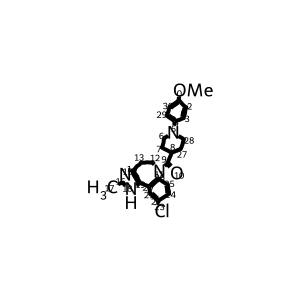 COc1ccc(N2CCC(C(=O)N3CCc4nc(C)[nH]c4-c4cc(Cl)ccc43)CC2)cc1